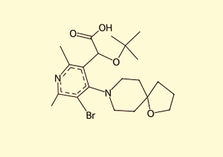 Cc1nc(C)c(C(OC(C)(C)C)C(=O)O)c(N2CCC3(CCCO3)CC2)c1Br